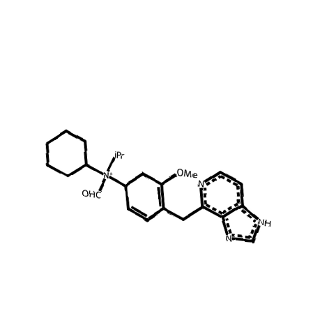 COC1=C(Cc2nccc3[nH]cnc23)C=CC([N+](C=O)(C(C)C)C2CCCCC2)C1